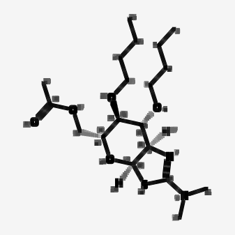 CCCCO[C@@H]1[C@H]2N=C(N(C)C)S[C@H]2O[C@H](COC(C)=O)[C@H]1OCCCC